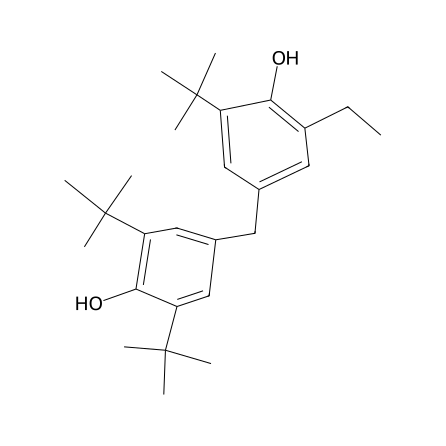 CCc1cc(Cc2cc(C(C)(C)C)c(O)c(C(C)(C)C)c2)cc(C(C)(C)C)c1O